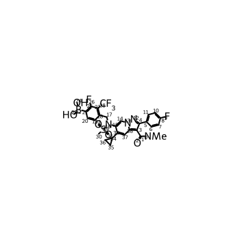 CNC(=O)c1c(-c2ccc(F)cc2)nn2cc(N(Cc3ccc(B(O)O)c(F)c3C(F)(F)F)S(C)(=O)=O)c(C3CC3)cc12